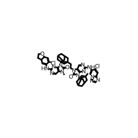 Cn1c(=O)n(C23CC4CC(CC(CCn5c(=O)n(C67CC8CC(CC(C)(C8)C6)C7)c6nc(Nc7cn8ncnc8cc7Cl)ncc65)(C4)C2)C3)c2nc(NC3=CC4CCOC4C=C3Cl)ncc21